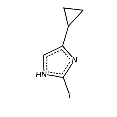 Ic1nc(C2CC2)c[nH]1